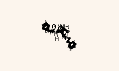 O=C(Cc1ccccc1)Nc1n[nH]c2c1CN(CCc1ccccc1)C2